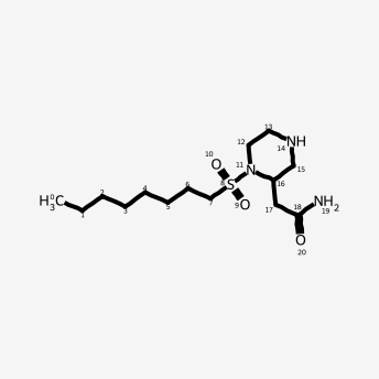 CCCCCCCCS(=O)(=O)N1CCNCC1CC(N)=O